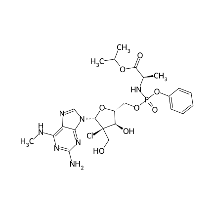 CNc1nc(N)nc2c1ncn2[C@@H]1O[C@H](COP(=O)(N[C@H](C)C(=O)OC(C)C)Oc2ccccc2)[C@@H](O)[C@]1(Cl)CO